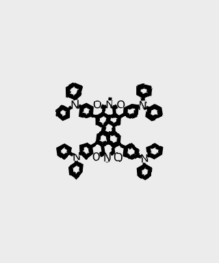 CN1C(=O)c2c(-c3ccc(N(c4ccccc4)c4ccccc4)cc3)cc3c4cc(-c5ccc(N(c6ccccc6)c6ccccc6)cc5)c5c6c(c(-c7ccc(N(c8ccccc8)c8ccccc8)cc7)cc(c7cc(-c8ccc(N(c9ccccc9)c9ccccc9)cc8)c(c2c37)C1=O)c64)C(=O)N(C)C5=O